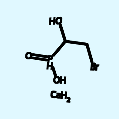 O=[PH](O)C(O)CBr.[CaH2]